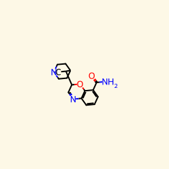 NC(=O)c1cccc2c1OC(C1CN3CCC1CC3)C=N2